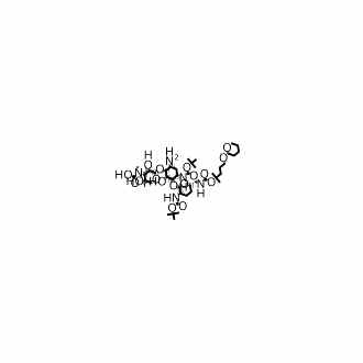 CN(C(=O)O)[C@@H]1[C@@H](O)[C@@H](O[C@@H]2[C@@H](O)[C@H](O[C@H]3O[C@H](CNC(=O)OC(C)(C)CCCOC4CCCCO4)CC[C@H]3NC(=O)OC(C)(C)C)[C@@H](NC(=O)OC(C)(C)C)C[C@H]2N)OC[C@]1(C)O